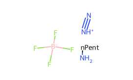 CCCCCN.F[B-](F)(F)F.N#[NH+]